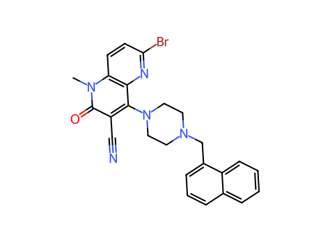 Cn1c(=O)c(C#N)c(N2CCN(Cc3cccc4ccccc34)CC2)c2nc(Br)ccc21